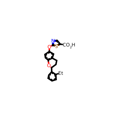 CCc1ccccc1C1CCc2cc(Oc3ncc(C(=O)O)s3)ccc2O1